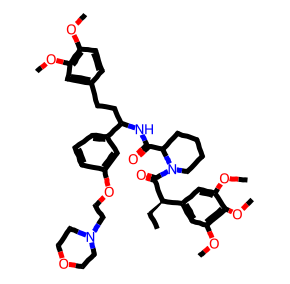 CC[C@@H](C(=O)N1CCCCC1C(=O)NC(CCc1ccc(OC)c(OC)c1)c1cccc(OCCN2CCOCC2)c1)c1cc(OC)c(OC)c(OC)c1